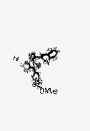 COCCS(=O)(=O)N1CCC(c2nc3c(-c4cnc5ccccc5c4)cnn3c(N)c2Br)CC1